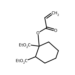 C=CC(=O)OC1(C(=O)OCC)CCCCC1C(=O)OCC